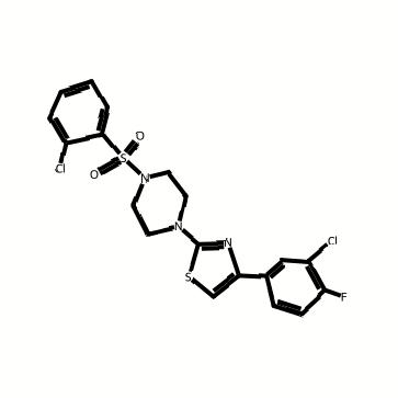 O=S(=O)(c1ccccc1Cl)N1CCN(c2nc(-c3ccc(F)c(Cl)c3)cs2)CC1